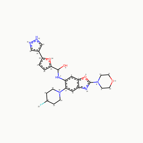 OC(Nc1cc2oc(N3CCOCC3)nc2cc1N1CCC(F)CC1)c1ccc(-c2cn[nH]c2)o1